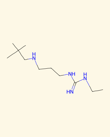 CCNC(=N)NCCCNCC(C)(C)C